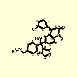 CCOCc1ccc(C(O)(c2ccc3c(c2)c(-c2cccc(Cl)c2)cc(=O)n3C)c2cncn2C)cc1